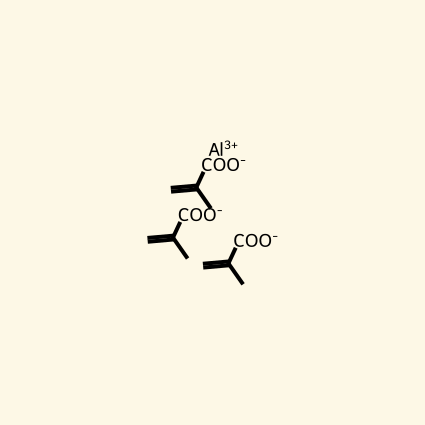 C=C(C)C(=O)[O-].C=C(C)C(=O)[O-].C=C(C)C(=O)[O-].[Al+3]